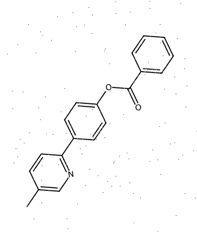 Cc1ccc(-c2ccc(OC(=O)c3ccccc3)cc2)nc1